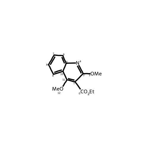 CCOC(=O)c1c(OC)nc2ccccc2c1OC